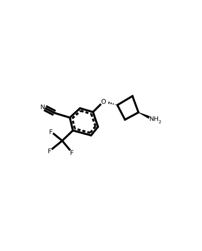 N#Cc1cc(O[C@H]2C[C@H](N)C2)ccc1C(F)(F)F